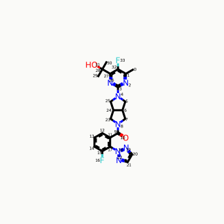 Cc1nc(N2CC3CN(C(=O)c4cccc(F)c4-n4nccn4)CC3C2)nc(C(C)(C)O)c1F